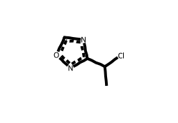 CC(Cl)c1ncon1